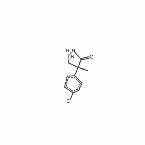 CC(CC#N)(C(N)=O)c1ccc(Cl)cc1